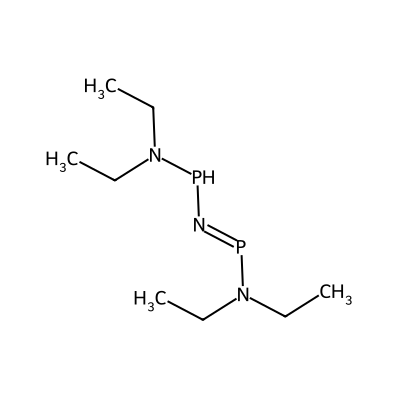 CCN(CC)P=NPN(CC)CC